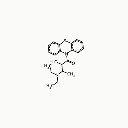 CCN(CC)C(C)C(C)C(=O)N1c2ccccc2Sc2ccccc21